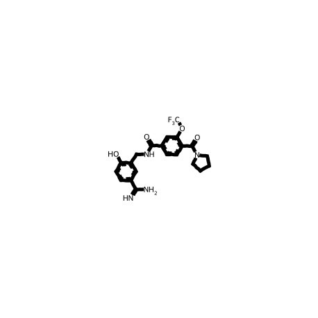 N=C(N)c1ccc(O)c(CNC(=O)c2ccc(C(=O)N3CCCC3)c(OC(F)(F)F)c2)c1